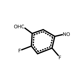 O=Cc1cc(N=O)c(F)cc1F